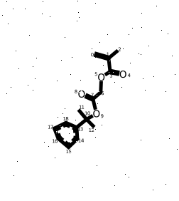 C=C(C)C(=O)OCC(=O)OC(C)(C)c1ccccc1